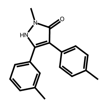 Cc1ccc(-c2c(-c3cccc(C)c3)[nH]n(C)c2=O)cc1